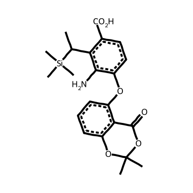 CC(c1c(C(=O)O)ccc(Oc2cccc3c2C(=O)OC(C)(C)O3)c1N)[Si](C)(C)C